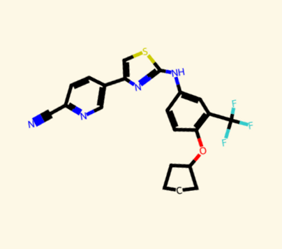 N#Cc1ccc(-c2csc(Nc3ccc(OC4CCCC4)c(C(F)(F)F)c3)n2)cn1